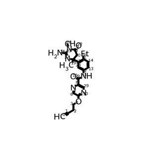 C#CCCOc1cnc(C(=O)Nc2ccc(CC)c(C3(C)CC(=O)N(C)C(N)=N3)c2)cn1